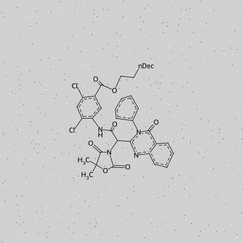 CCCCCCCCCCCCOC(=O)c1cc(NC(=O)C(c2nc3ccccc3c(=O)n2-c2ccccc2)N2C(=O)OC(C)(C)C2=O)c(Cl)cc1Cl